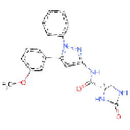 O=C1NC[C@@H](C(=O)Nc2cc(-c3cccc(OC(F)(F)F)c3)n(-c3ccccc3)n2)N1